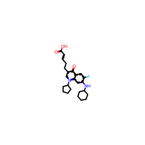 O=C(O)/C=C/CCc1cn(C2CCCC2)c2cc(NC3CCCCC3)c(F)cc2c1=O